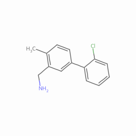 Cc1ccc(-c2ccccc2Cl)cc1CN